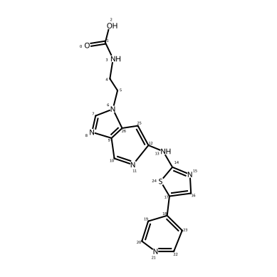 O=C(O)NCCn1cnc2cnc(Nc3ncc(-c4ccncc4)s3)cc21